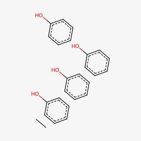 CC.Oc1ccccc1.Oc1ccccc1.Oc1ccccc1.Oc1ccccc1